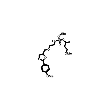 COCCC(C)OP(=S)(NCCOCC1COC(c2ccc(OC)cc2)O1)OC(C)(C)C